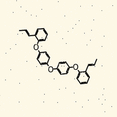 CC=Cc1ccccc1Oc1ccc(Oc2ccc(Oc3ccccc3C=CC)cc2)cc1